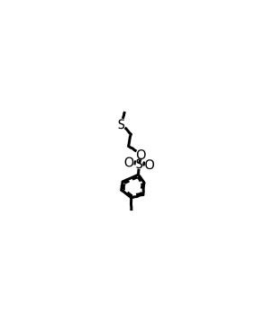 CSCCOS(=O)(=O)c1ccc(C)cc1